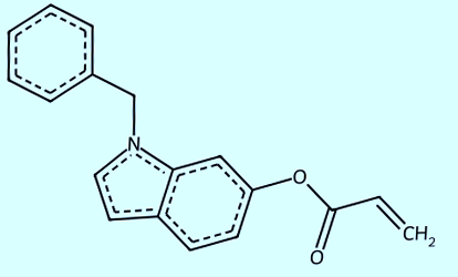 C=CC(=O)Oc1ccc2ccn(Cc3ccccc3)c2c1